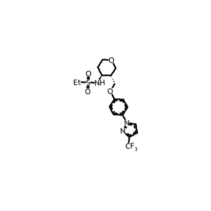 CCS(=O)(=O)N[C@H]1CCOC[C@@H]1COc1ccc(-n2ccc(C(F)(F)F)n2)cc1